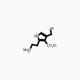 CCOC(=O)c1c(CC(C)C)c[nH]c1CCOC